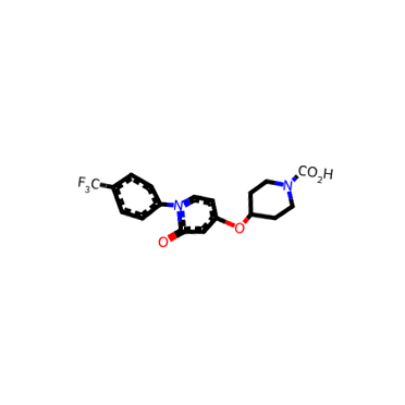 O=C(O)N1CCC(Oc2ccn(-c3ccc(C(F)(F)F)cc3)c(=O)c2)CC1